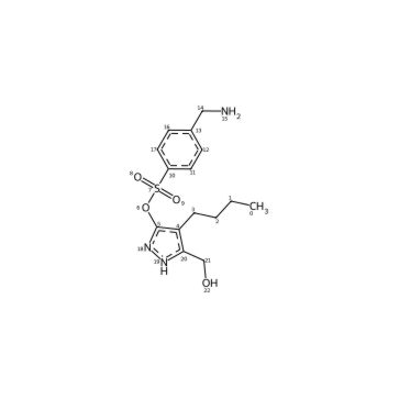 CCCCc1c(OS(=O)(=O)c2ccc(CN)cc2)n[nH]c1CO